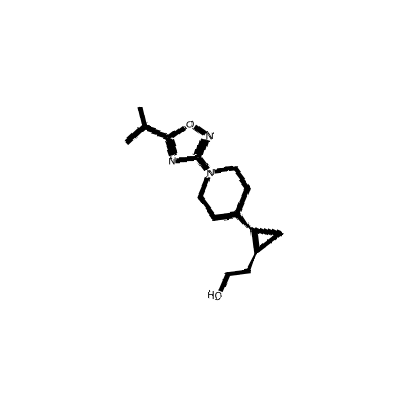 CC(C)c1nc(N2CCC([C@H]3C[C@H]3CCO)CC2)no1